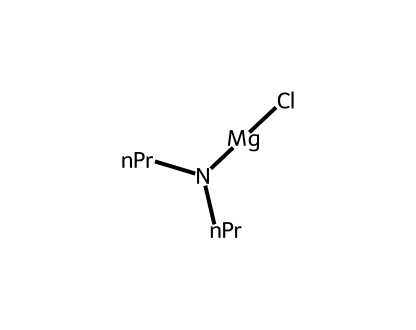 CCC[N](CCC)[Mg][Cl]